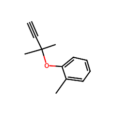 C#CC(C)(C)Oc1ccccc1C